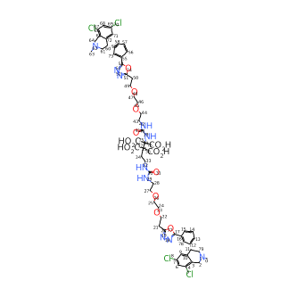 CN1Cc2c(Cl)cc(Cl)cc2[C@H](c2cccc(-c3nnc(CCOCCOCCNC(=O)NCCC(C(=O)O)(C(=O)O)C(NC(=O)NCCOCCOCCc4nnc(-c5cccc([C@@H]6CN(C)Cc7c(Cl)cc(Cl)cc76)c5)o4)(C(=O)O)C(=O)O)o3)c2)C1